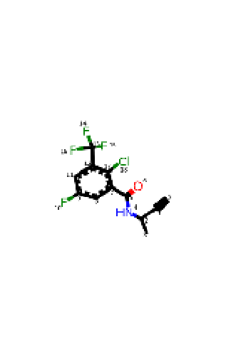 C#CC(C)NC(=O)c1cc(F)cc(C(F)(F)F)c1Cl